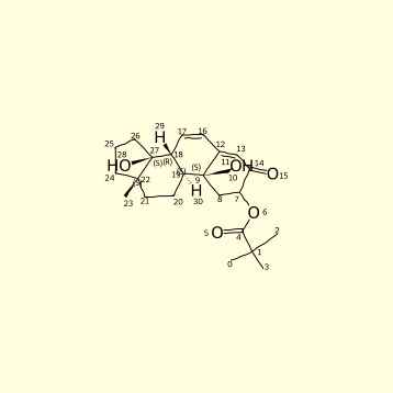 CC(C)(C)C(=O)OC1C[C@@]2(CO)C(=CC1=O)C=C[C@@H]1[C@@H]2CC[C@]2(C)CCC[C@]12O